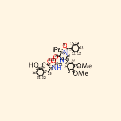 COc1ccc(C2=CN(C(=O)c3ccccc3)C(C(C)C)C(=O)N2CC(=O)N[C@@H](Cc2ccccc2)C(=O)C(=O)O)cc1OC